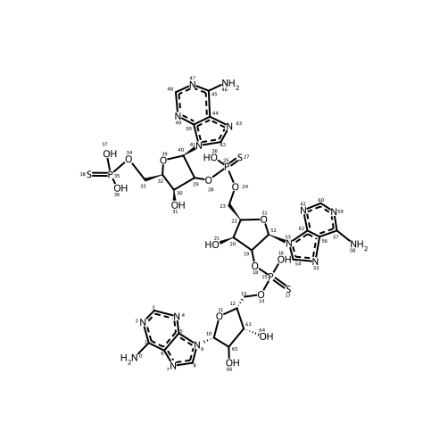 Nc1ncnc2c1ncn2[C@@H]1O[C@H](COP(O)(=S)OC2[C@@H](O)[C@@H](COP(O)(=S)OC3[C@@H](O)[C@@H](COP(O)(O)=S)O[C@H]3n3cnc4c(N)ncnc43)O[C@H]2n2cnc3c(N)ncnc32)[C@H](O)C1O